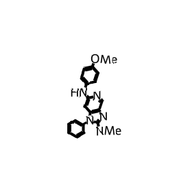 CNc1nc2cnc(Nc3ccc(OC)cc3)cc2n1-c1ccccc1